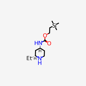 CC[C@@H]1C[C@H](NC(=O)OCC[Si](C)(C)C)CCN1